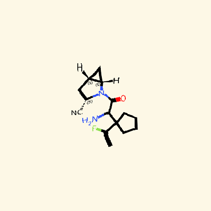 C=C(F)C1(C(N)C(=O)N2[C@H](C#N)C[C@@H]3C[C@@H]32)CCCC1